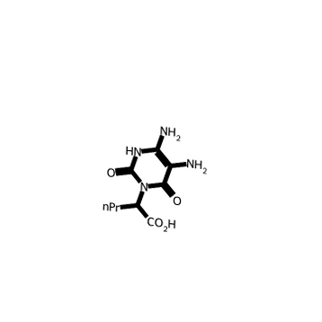 CCCC(C(=O)O)n1c(=O)[nH]c(N)c(N)c1=O